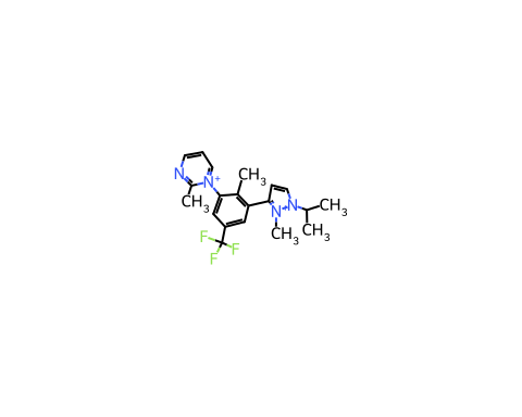 Cc1c(-c2ccn(C(C)C)[n+]2C)cc(C(F)(F)F)cc1-[n+]1cccnc1C